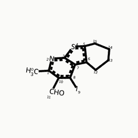 Cc1nc2sc3c(c2c(I)c1C=O)CCCC3